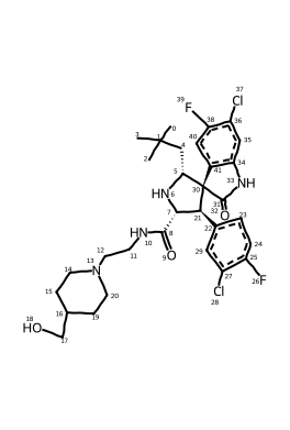 CC(C)(C)C[C@H]1N[C@@H](C(=O)NCCN2CCC(CO)CC2)[C@H](c2ccc(F)c(Cl)c2)[C@@]12C(=O)Nc1cc(Cl)c(F)cc12